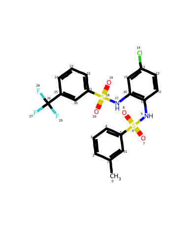 Cc1cccc(S(=O)(=O)Nc2ccc(Cl)cc2NS(=O)(=O)c2cccc(C(F)(F)F)c2)c1